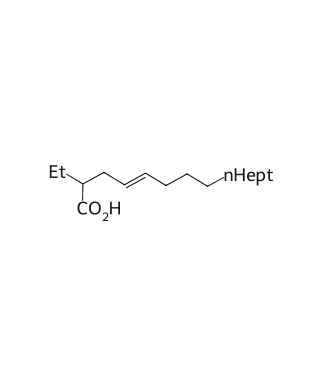 CCCCCCCCCCC=CCC(CC)C(=O)O